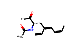 C=C/C(=C\C=C/C)C[C@H](NC(=O)OC)C(=O)CC